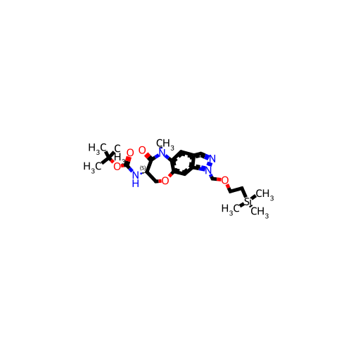 CN1C(=O)[C@@H](NC(=O)OC(C)(C)C)COc2cc3c(cnn3COCC[Si](C)(C)C)cc21